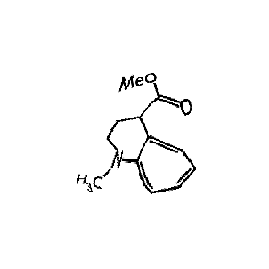 COC(=O)C1CCN(C)c2ccccc21